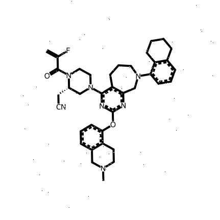 C=C(F)C(=O)N1CCN(c2nc(Oc3cccc4c3CCN(C)C4)nc3c2CCCN(c2cccc4c2CCCC4)C3)C[C@@H]1CC#N